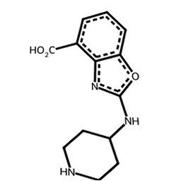 O=C(O)c1cccc2oc(NC3CCNCC3)nc12